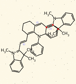 CN1/C(=C\C=C2\CCCC(/C=C/C3=[N+](C)c4ccccc4C3(C)C)=C2N(c2ccccc2)c2ccccc2)C(C)(C)c2ccccc21